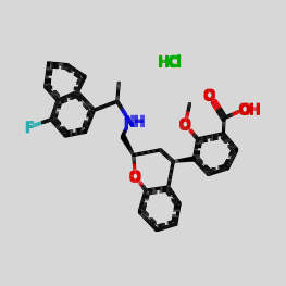 COc1c(C(=O)O)cccc1[C@@H]1C[C@H](CNC(C)c2ccc(F)c3ccccc23)Oc2ccccc21.Cl